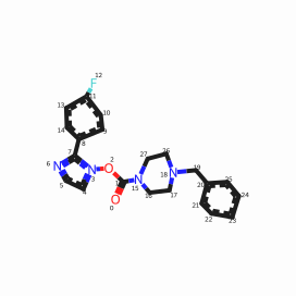 O=C(On1ccnc1-c1ccc(F)cc1)N1CCN(Cc2ccccc2)CC1